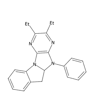 CCc1nc2c(nc1CC)N1c3ccccc3CC1N2c1ccccc1